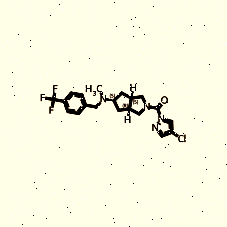 CN(Cc1ccc(C(F)(F)F)cc1)[C@H]1C[C@@H]2CN(C(=O)n3cc(Cl)cn3)C[C@@H]2C1